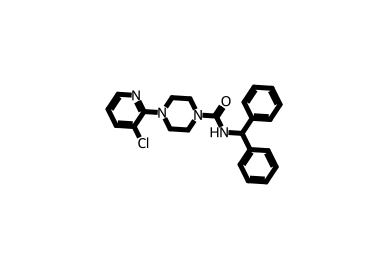 O=C(NC(c1ccccc1)c1ccccc1)N1CCN(c2ncccc2Cl)CC1